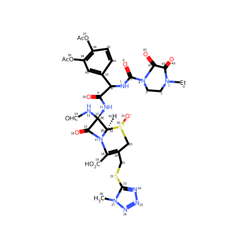 CCN1CCN(C(=O)NC(C(=O)N[C@]2(NC=O)C(=O)N3C(C(=O)O)=C(CSc4nnnn4C)C[S+]([O-])[C@@H]32)c2ccc(OC(C)=O)c(OC(C)=O)c2)C(=O)C1=O